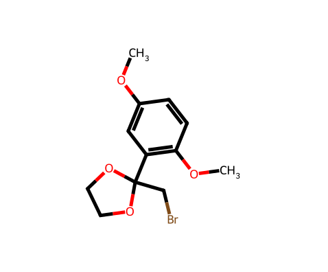 COc1ccc(OC)c(C2(CBr)OCCO2)c1